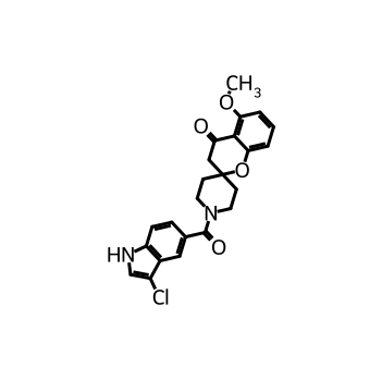 COc1cccc2c1C(=O)CC1(CCN(C(=O)c3ccc4[nH]cc(Cl)c4c3)CC1)O2